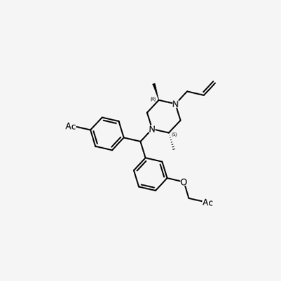 C=CCN1C[C@H](C)N(C(c2ccc(C(C)=O)cc2)c2cccc(OCC(C)=O)c2)C[C@H]1C